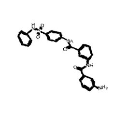 Nc1cccc(C(=O)Nc2cccc(C(=O)Nc3ccc(S(=O)(=O)Nc4ccccc4)cc3)c2)c1